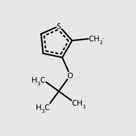 [CH2]c1sccc1OC(C)(C)C